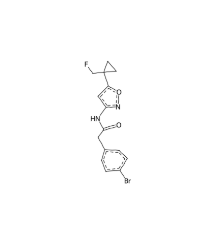 O=C(Cc1ccc(Br)cc1)Nc1cc(C2(CF)CC2)on1